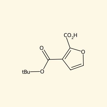 CC(C)(C)OC(=O)c1ccoc1C(=O)O